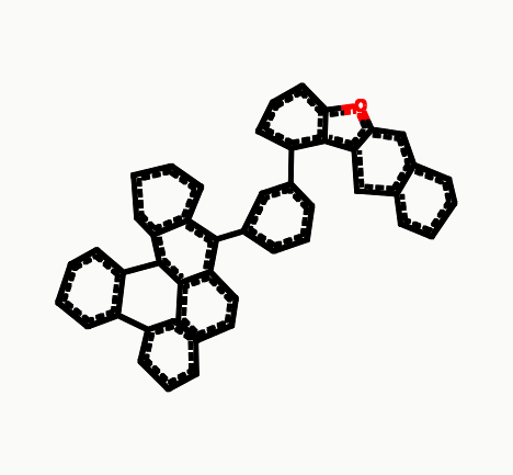 c1ccc(-c2ccccc2-c2c3ccccc3c(-c3cccc(-c4cccc5oc6cc7ccccc7cc6c45)c3)c3ccccc23)cc1